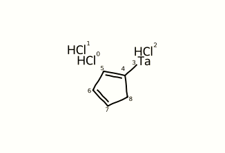 Cl.Cl.Cl.[Ta][C]1=CC=CC1